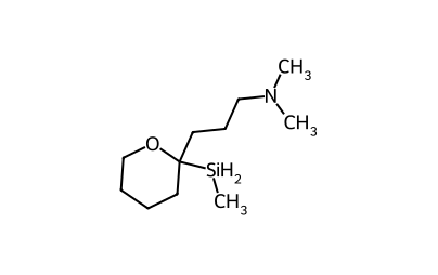 C[SiH2]C1(CCCN(C)C)CCCCO1